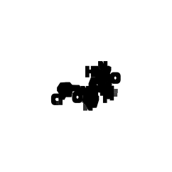 O=C(Cc1cccc(Cl)c1)Nc1cnccc1-c1ccc2c3[nH]ncc3c(=O)n(CC(F)(F)F)c2c1